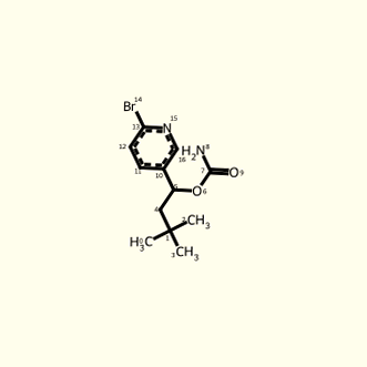 CC(C)(C)CC(OC(N)=O)c1ccc(Br)nc1